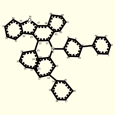 c1ccc(-c2ccc(N(c3cccc(-c4ccccc4)c3)c3c(-c4ccccc4)c4c5ccccc5oc4c4ccccc34)cc2)cc1